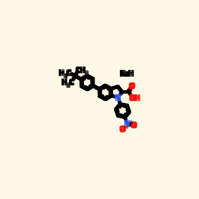 CC(C)(C)c1ccc(-c2ccc3c(c2)CC(C(=O)O)N3c2ccc([N+](=O)[O-])cc2)cc1.[NaH]